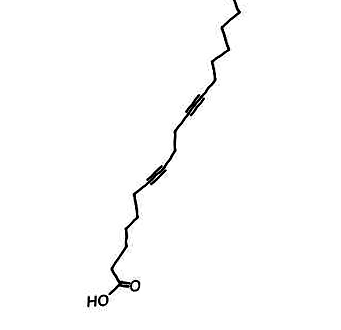 CCCCCCC#CCCC#CCCCCCC(=O)O